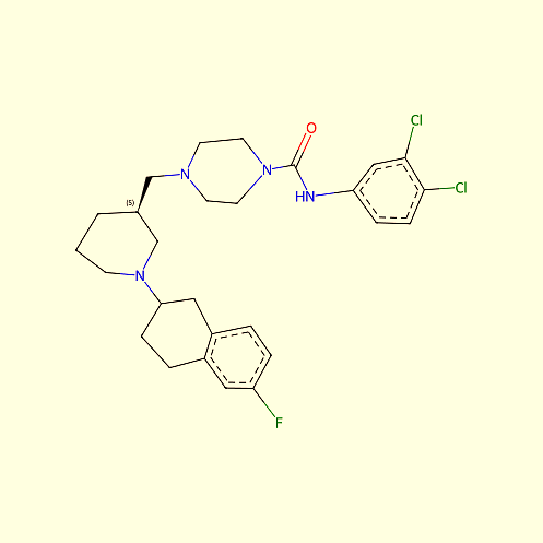 O=C(Nc1ccc(Cl)c(Cl)c1)N1CCN(C[C@@H]2CCCN(C3CCc4cc(F)ccc4C3)C2)CC1